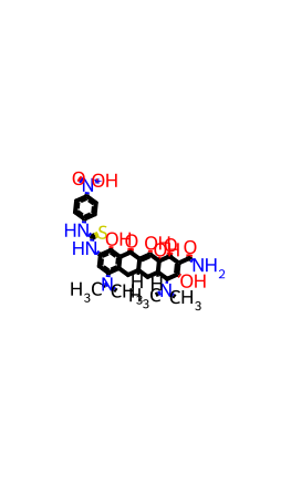 CN(C)c1cc(NC(=S)Nc2ccc([N+](=O)O)cc2)c(O)c2c1C[C@H]1C[C@H]3[C@H](N(C)C)C(O)=C(C(N)=O)C(=O)[C@@]3(O)C(O)=C1C2=O